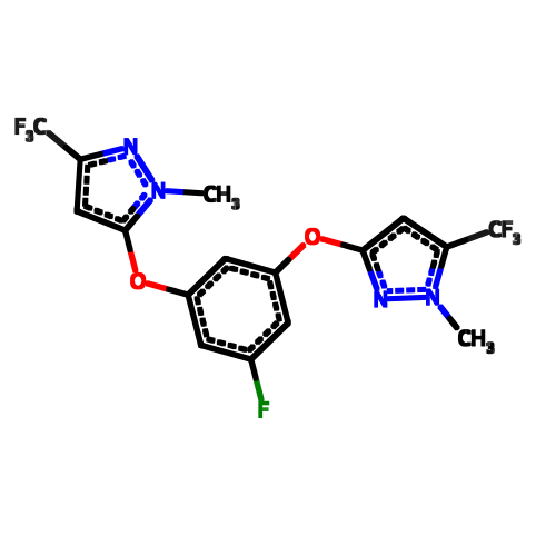 Cn1nc(C(F)(F)F)cc1Oc1cc(F)cc(Oc2cc(C(F)(F)F)n(C)n2)c1